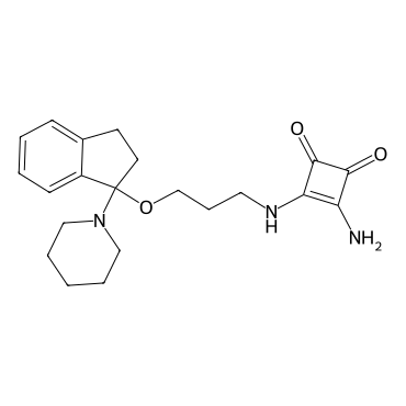 Nc1c(NCCCOC2(N3CCCCC3)CCc3ccccc32)c(=O)c1=O